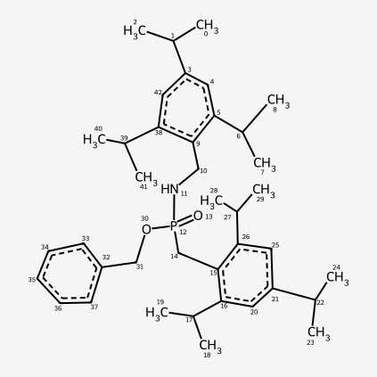 CC(C)c1cc(C(C)C)c(CNP(=O)(Cc2c(C(C)C)cc(C(C)C)cc2C(C)C)OCc2ccccc2)c(C(C)C)c1